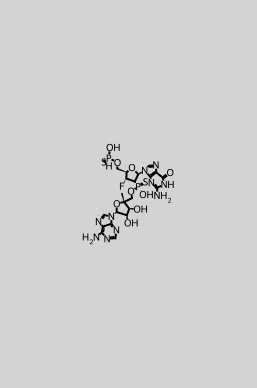 C[C@]1(COP(O)(=S)[C@@H]2[C@H](F)[C@@H](CO[PH](O)=S)O[C@H]2n2cnc3c(=O)[nH]c(N)nc32)O[C@@H](n2cnc3c(N)ncnc32)[C@H](O)[C@@H]1O